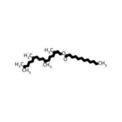 CCCCCCCCCCCC(=O)OCC=C(C)CCCC(C)CCCC(C)CCCC(C)C